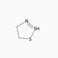 [CH]1CS[SH]=N1